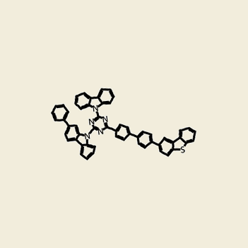 c1ccc(-c2ccc3c4ccccc4n(-c4nc(-c5ccc(-c6ccc(-c7ccc8sc9ccccc9c8c7)cc6)cc5)nc(-n5c6ccccc6c6ccccc65)n4)c3c2)cc1